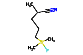 CC(C#N)CCCS(C)(C)F